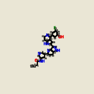 CC(C)(C)CC(=O)Nc1cncc(-c2ccc3[nH]nc(-c4cc5c(-c6cc(O)cc(F)c6)nccc5[nH]4)c3n2)c1